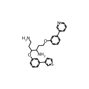 NCCC(Oc1cccc(-c2ccsc2)c1)C(N)CCOc1cccc(-c2cccnc2)c1